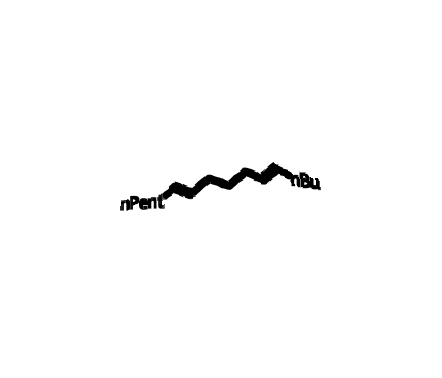 [CH2]CCCC/C=C/CCC/C=C/CCCC